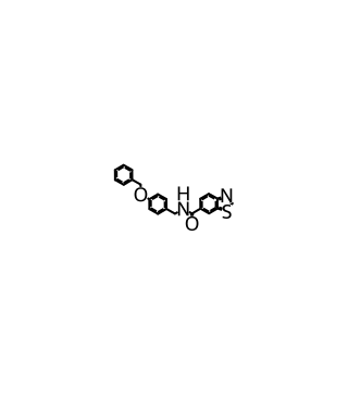 O=C(NCc1ccc(OCc2ccccc2)cc1)c1ccc2ncsc2c1